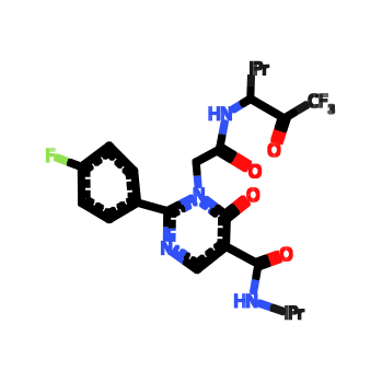 CC(C)NC(=O)c1cnc(-c2ccc(F)cc2)n(CC(=O)NC(C(=O)C(F)(F)F)C(C)C)c1=O